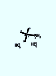 C[Si](C)(C)N.Cl.Cl